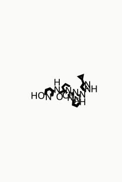 C[C@@]1(C(=O)Nc2ccc(O)nc2)CCCN1c1nc(Nc2cc(C3CC3)n[nH]2)n2cccc2n1